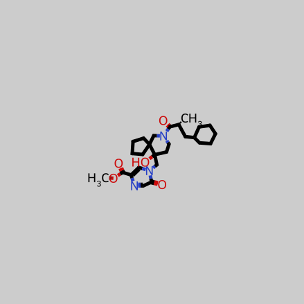 COC(=O)c1cn(CC2(O)CCN(C(=O)[C@H](C)CC3CCCCC3)CC23CCCC3)c(=O)cn1